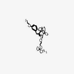 CC(=O)OCCOCn1cc(Cc2cccc(OCCCF)c2)c(=O)[nH]c1=O